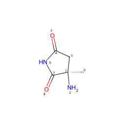 C[C@@]1(N)CC(=O)NC1=O